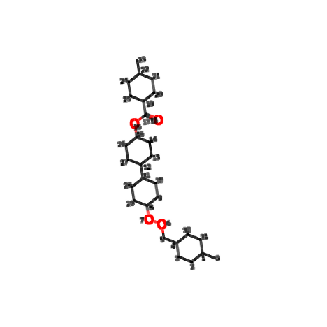 CC1CCC(COOC2CCC(C3CCC(OC(=O)C4CCC(C)CC4)CC3)CC2)CC1